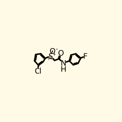 O=C(C[S@+]([O-])c1cccc(Cl)c1)Nc1ccc(F)cc1